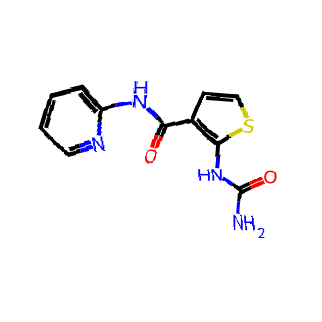 NC(=O)Nc1sccc1C(=O)Nc1ccccn1